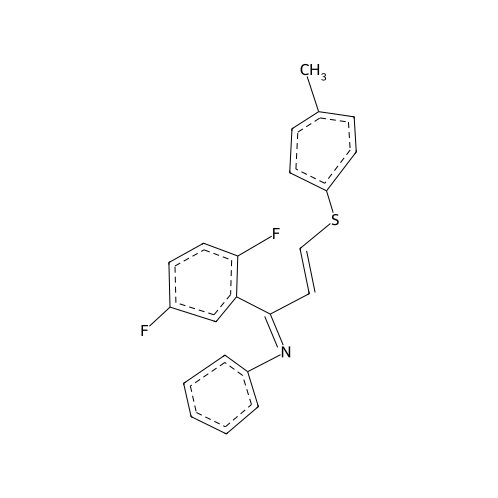 Cc1ccc(S/C=C/C(=N/c2ccccc2)c2cc(F)ccc2F)cc1